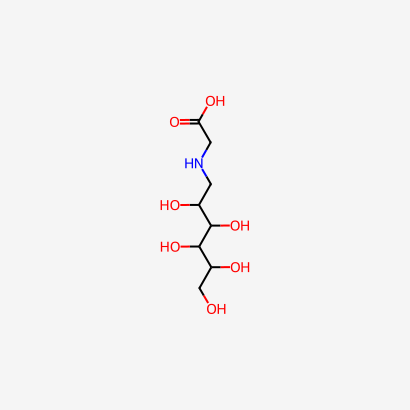 O=C(O)CNCC(O)C(O)C(O)C(O)CO